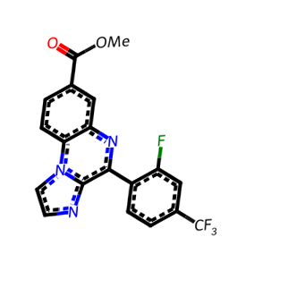 COC(=O)c1ccc2c(c1)nc(-c1ccc(C(F)(F)F)cc1F)c1nccn12